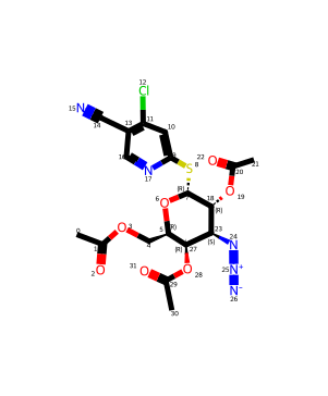 CC(=O)OC[C@H]1O[C@H](Sc2cc(Cl)c(C#N)cn2)[C@H](OC(C)=O)[C@@H](N=[N+]=[N-])[C@H]1OC(C)=O